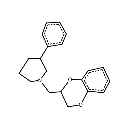 c1ccc(C2CCCN(CC3COc4ccccc4O3)C2)cc1